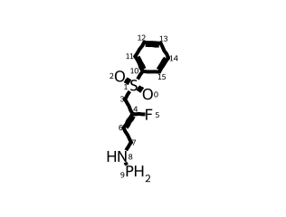 O=S(=O)(C/C(F)=C/CNP)c1ccccc1